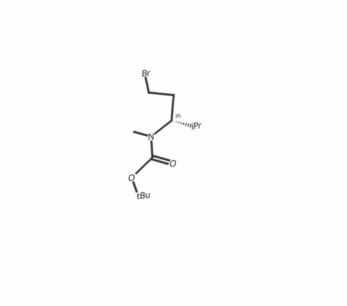 CC(C)[C@@H](CCBr)N(C)C(=O)OC(C)(C)C